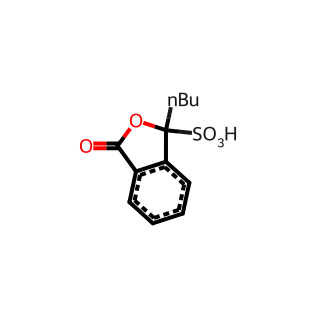 CCCCC1(S(=O)(=O)O)OC(=O)c2ccccc21